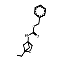 O=C(NC12COC(CF)(C1)C2)OCc1ccccc1